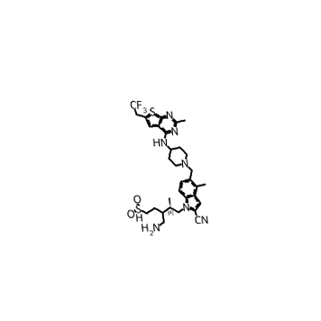 Cc1nc(NC2CCN(Cc3ccc4c(cc(C#N)n4C[C@H](C)C(CN)CC[SH](=O)=O)c3C)CC2)c2cc(CC(F)(F)F)sc2n1